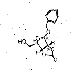 O=C1O[C@H]2[C@H](OCc3ccccc3)O[C@H](CO)[C@H]2O1